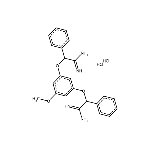 COc1cc(OC(C(=N)N)c2ccccc2)cc(OC(C(=N)N)c2ccccc2)c1.Cl.Cl